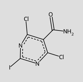 NC(=O)c1c(Cl)nc(I)nc1Cl